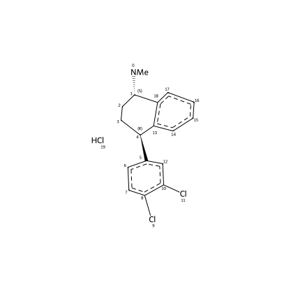 CN[C@H]1CC[C@H](c2ccc(Cl)c(Cl)c2)c2ccccc21.Cl